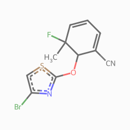 CC1(F)C=CC=C(C#N)C1Oc1nc(Br)cs1